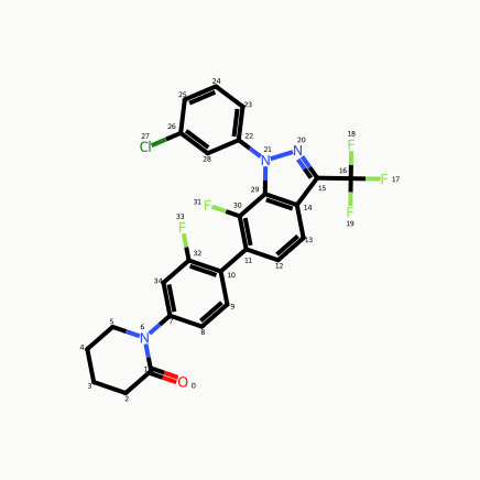 O=C1CCCCN1c1ccc(-c2ccc3c(C(F)(F)F)nn(-c4cccc(Cl)c4)c3c2F)c(F)c1